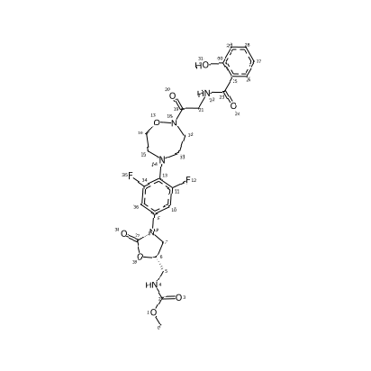 COC(=O)NC[C@H]1CN(c2cc(F)c(N3CCON(C(=O)CNC(=O)c4ccccc4O)CC3)c(F)c2)C(=O)O1